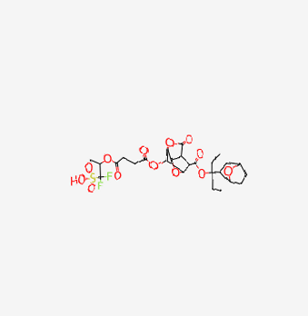 CCC(CC)(OC(=O)C1C2OC3C(OC(=O)C31)C2OC(=O)CCC(=O)OC(C)C(F)(F)S(=O)(=O)O)C1CC2CCC1O2